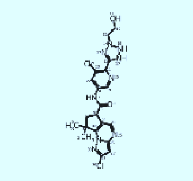 CC1(C)CC(C(=O)Nc2cnc(C3=NN(CCO)NN3)c(Cl)c2)c2cnc3cc(Cl)nn3c21